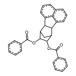 O=C(OC1C2CC(C1OC(=O)c1ccccc1)C1c3cccc4cccc(c34)C21)c1ccccc1